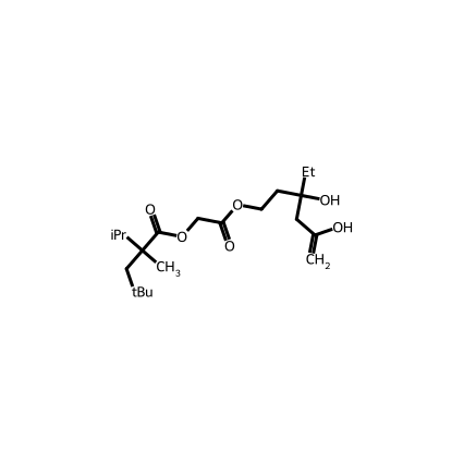 C=C(O)CC(O)(CC)CCOC(=O)COC(=O)C(C)(CC(C)(C)C)C(C)C